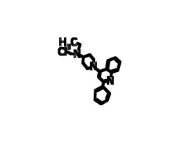 CCN(CCl)C1CCN(c2cc(-c3ccccc3)nc3ccccc23)CC1